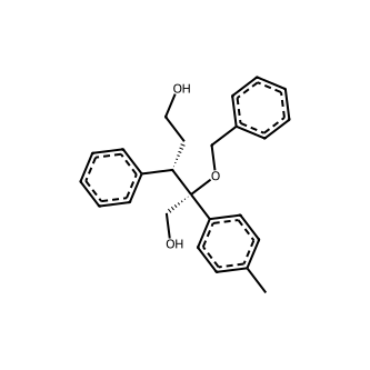 Cc1ccc([C@](CO)(OCc2ccccc2)[C@@H](CCO)c2ccccc2)cc1